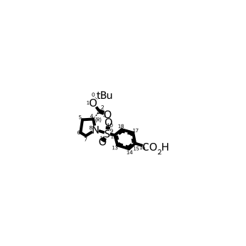 CC(C)(C)OC(=O)[C@H]1CCCN1S(=O)(=O)c1ccc(C(=O)O)cc1